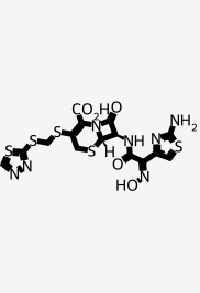 Nc1nc(/C(=N/O)C(=O)N[C@@H]2C(=O)N3C(C(=O)O)=C(SCSc4nncs4)CS[C@H]23)cs1